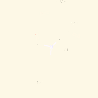 COC(=O)CCC(C)(C(=O)OC)N1Cc2c(cccc2[N+](=O)[O-])C1=O